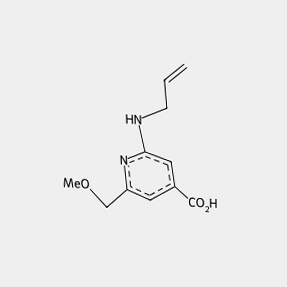 C=CCNc1cc(C(=O)O)cc(COC)n1